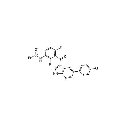 CC[S+]([O-])Nc1ccc(F)c(C(=O)c2c[nH]c3ncc(-c4ccc(Cl)cc4)cc23)c1F